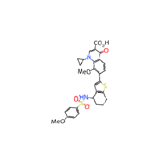 COc1ccc(S(=O)(=O)NC2CCCc3sc(-c4ccc5c(=O)c(C(=O)O)cn(C6CC6)c5c4OC)cc32)cc1